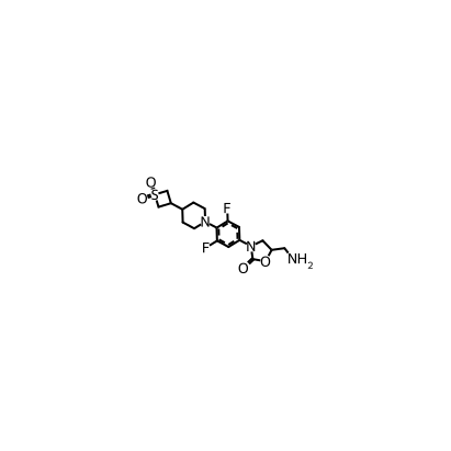 NCC1CN(c2cc(F)c(N3CCC(C4CS(=O)(=O)C4)CC3)c(F)c2)C(=O)O1